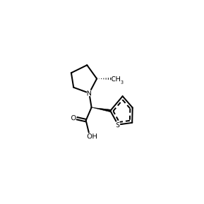 C[C@H]1CCCN1[C@H](C(=O)O)c1cccs1